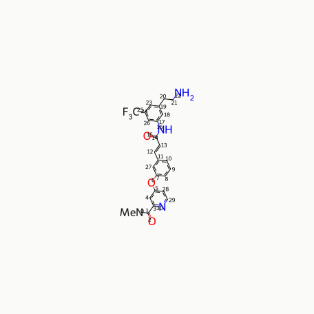 CNC(=O)c1cc(Oc2cccc(C=CC(=O)Nc3cc(CCN)cc(C(F)(F)F)c3)c2)ccn1